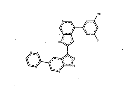 Oc1cc(F)cc(-c2cncc3[nH]c(-c4n[nH]c5ncc(-c6cnccn6)cc45)cc23)c1